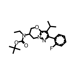 CCN(C(=O)OC(C)(C)C)C1COc2c(C(C)C)c(-c3ccccc3F)nn2C1